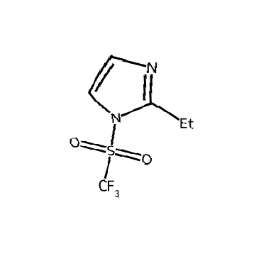 CCc1nccn1S(=O)(=O)C(F)(F)F